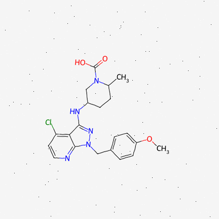 COc1ccc(Cn2nc(NC3CCC(C)N(C(=O)O)C3)c3c(Cl)ccnc32)cc1